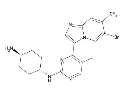 Cc1cnc(N[C@H]2CC[C@H](N)CC2)nc1-c1cnc2cc(C(F)(F)F)c(Br)cn12